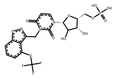 O=c1ccn([C@@H]2O[C@H](COP(=O)(O)O)[C@H](O)C2O)c(=O)n1Cc1noc2cccc(OC(F)(F)F)c12